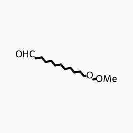 COCOCCCCCCCCCCCC=O